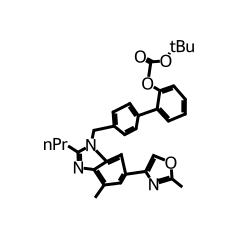 CCCc1nc2c(C)cc(-c3coc(C)n3)cc2n1Cc1ccc(-c2ccccc2OC(=O)OC(C)(C)C)cc1